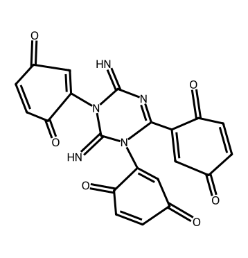 N=c1nc(C2=CC(=O)C=CC2=O)n(C2=CC(=O)C=CC2=O)c(=N)n1C1=CC(=O)C=CC1=O